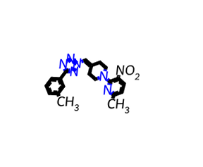 Cc1cccc(-c2nnn(C=C3CCN(c4nc(C)ccc4[N+](=O)[O-])CC3)n2)c1